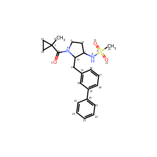 CC1(C(=O)N2CCC(NS(C)(=O)=O)C2Cc2cccc(-c3ccccc3)c2)CC1